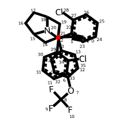 N#CC1(c2ccc(OC(F)(F)F)cc2)CC2CCC(C1)N2C(c1ccccc1Cl)c1ccccc1Cl